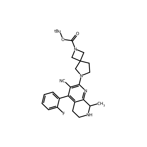 CC1NCCc2c1nc(N1CCC3(CN(C(=O)OC(C)(C)C)C3)C1)c(C#N)c2-c1ccccc1F